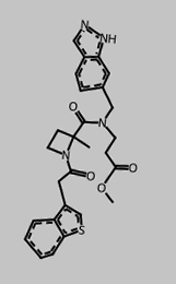 COC(=O)CCN(Cc1ccc2cn[nH]c2c1)C(=O)C1(C)CCN1C(=O)Cc1csc2ccccc12